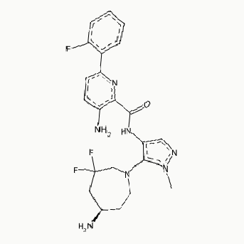 Cn1ncc(NC(=O)c2nc(-c3ccccc3F)ccc2N)c1N1CC[C@@H](N)CC(F)(F)C1